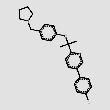 CC(C)(Oc1ccc(CN2CCCC2)cc1)c1ccc(-c2ccc(Cl)cc2)cn1